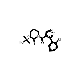 CC(C)(O)[C@@H]1CCCN(C(=O)c2cnoc2-c2ccccc2Cl)C1I